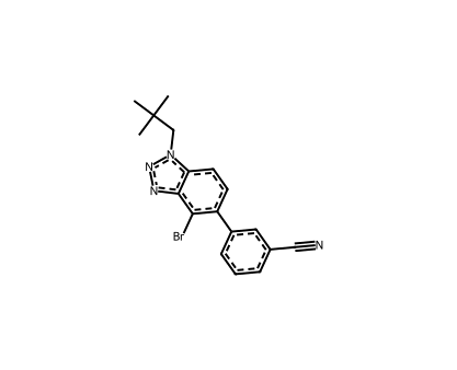 CC(C)(C)Cn1nnc2c(Br)c(-c3cccc(C#N)c3)ccc21